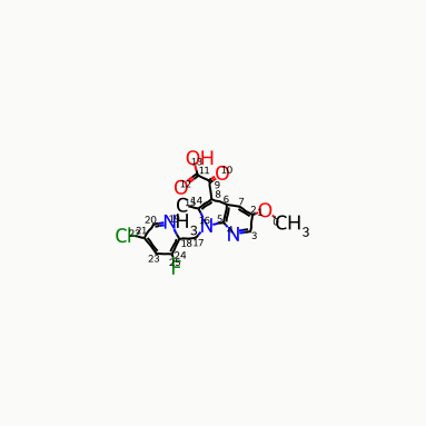 COc1cnc2c(c1)c(C(=O)C(=O)O)c(C)n2Cc1ncc(Cl)cc1F